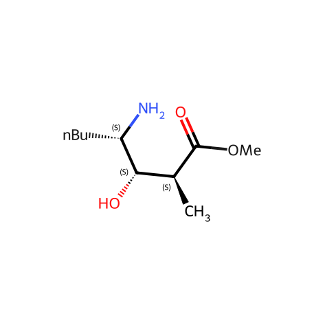 CCCC[C@H](N)[C@@H](O)[C@H](C)C(=O)OC